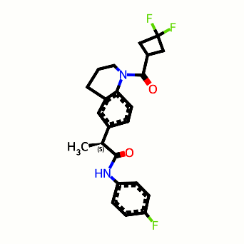 C[C@H](C(=O)Nc1ccc(F)cc1)c1ccc2c(c1)CCCN2C(=O)C1CC(F)(F)C1